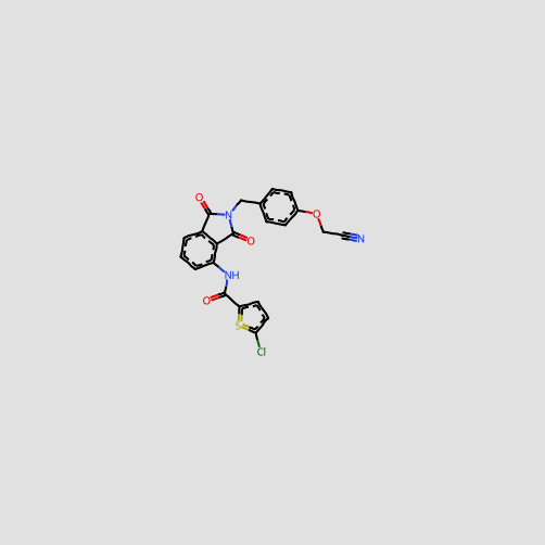 N#CCOc1ccc(CN2C(=O)c3cccc(NC(=O)c4ccc(Cl)s4)c3C2=O)cc1